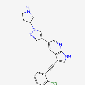 Clc1ccccc1C#Cc1c[nH]c2ncc(-c3cnn(C4CCNC4)c3)cc12